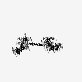 NCC1O[C@H](OC2C(N)C[C@@H](N)C(O)[C@H]2O[C@@H]2O[C@H](CNC(=S)NCCCOCCCCOCCCNC(=S)NC[C@H]3O[C@@H](OC4C(O[C@@H]5OC(CN)C(O)[C@H](O)C5N)C(N)C[C@H](N)[C@@H]4O)C(O)C3O[C@@H]3O[C@H](CN)C(O)C(O)C3N)C(O[C@H]3O[C@@H](CN)C(O)C(O)C3N)[C@@H]2O)C(N)[C@@H](O)C1O